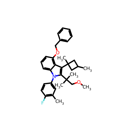 COCC(C)(C)c1c(C2(C)CC(C)C2)c2c(OCc3ccccc3)cccc2n1-c1ccc(F)c(C)c1